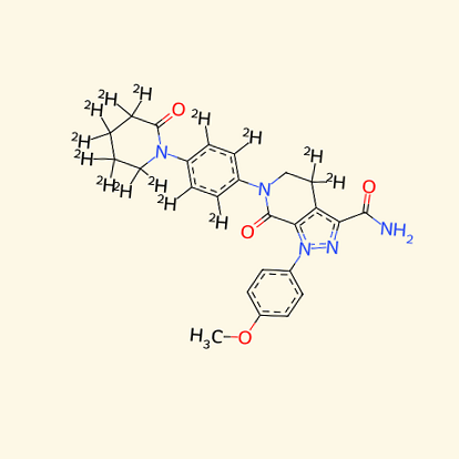 [2H]c1c([2H])c(N2C(=O)C([2H])([2H])C([2H])([2H])C([2H])([2H])C2([2H])[2H])c([2H])c([2H])c1N1CC([2H])([2H])c2c(C(N)=O)nn(-c3ccc(OC)cc3)c2C1=O